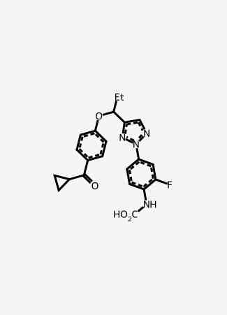 CCC(Oc1ccc(C(=O)C2CC2)cc1)c1cnn(-c2ccc(NC(=O)O)c(F)c2)n1